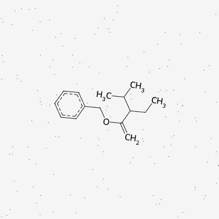 C=C(OCc1ccccc1)C(CC)C(C)C